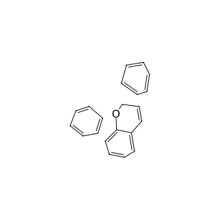 C1=Cc2ccccc2OC1.c1ccccc1.c1ccccc1